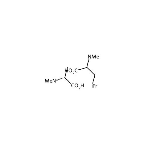 CNC(CC(C)C)C(=O)O.CN[C@H](C)C(=O)O